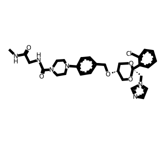 CNC(=O)CNC(=O)N1CCN(c2ccc(CO[C@H]3CO[C@](Cn4ccnc4)(c4ccccc4Cl)OC3)cc2)CC1